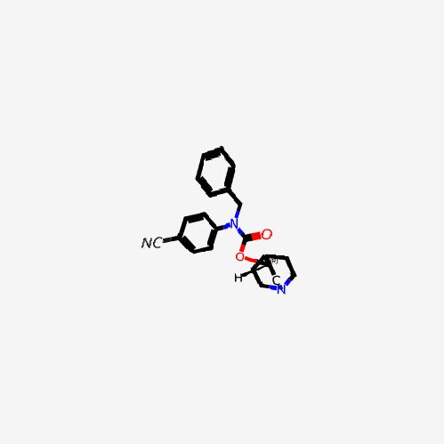 N#Cc1ccc(N(Cc2ccccc2)C(=O)O[C@H]2CN3CCC2CC3)cc1